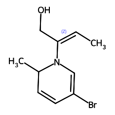 C/C=C(/CO)N1C=C(Br)C=CC1C